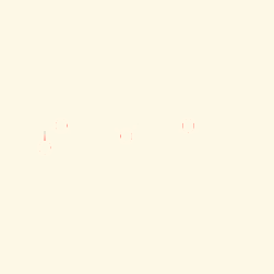 CCCCOCCCCOCCCCOC(C)=O